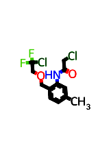 Cc1ccc(COCC(F)(F)Cl)c(NC(=O)CCl)c1